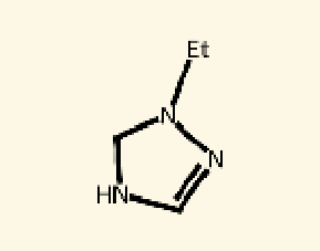 CCN1CNC=N1